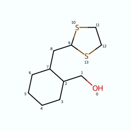 OCC1CCCCC1CC1SCCS1